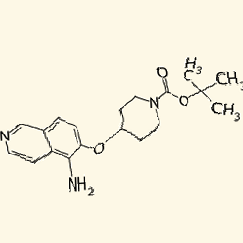 CC(C)(C)OC(=O)N1CCC(Oc2ccc3cnccc3c2N)CC1